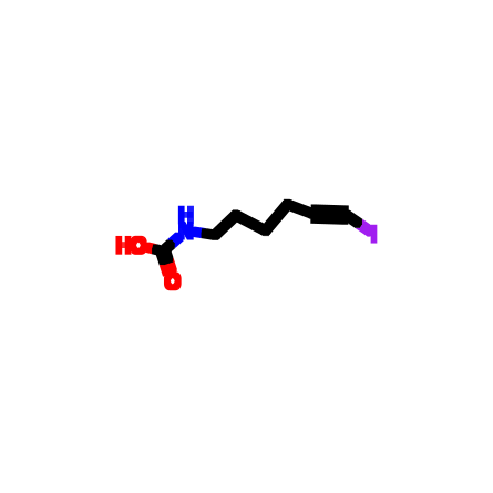 O=C(O)NCCCCC#CI